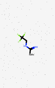 CNC(=N)NCC(F)(F)F